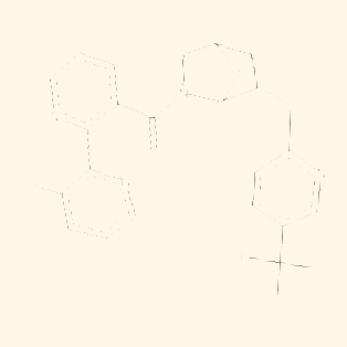 O=C(c1cccnc1-c1ncccc1F)N1CC2CC(Oc3ccc(C(F)(F)F)cn3)C1C2